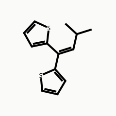 CC(C)C=C(c1cccs1)c1cccs1